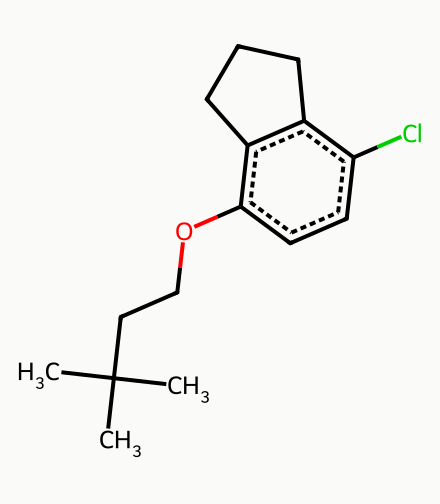 CC(C)(C)CCOc1ccc(Cl)c2c1CCC2